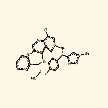 CC(C)n1cc([C@@H](Nc2cc(Cl)c3ncc(C#N)c(N[C@H](CC#N)c4ccccc4)c3c2)c2ccc(F)cc2)nn1